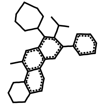 Cc1cc2c(C3CCCCCC3)c(C(C)C)c(-c3ccccc3)cc2c2ccc3c(c12)CCCC3